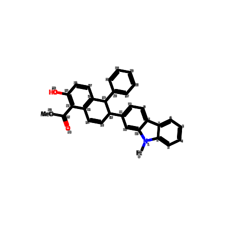 CCn1c2ccccc2c2ccc(C3C=Cc4c(ccc(O)c4C(=O)OC)C3c3ccccc3)cc21